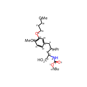 CCCCOC(=O)NC(CC(Cc1ccc(OC)c(OCCCOC)c1)C(C)C)C(=O)O